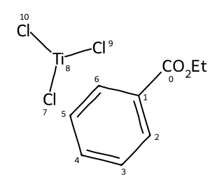 CCOC(=O)c1ccccc1.[Cl][Ti]([Cl])[Cl]